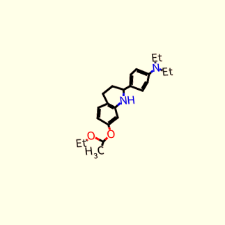 CCOC(C)Oc1ccc2c(c1)NC(c1ccc(N(CC)CC)cc1)CC2